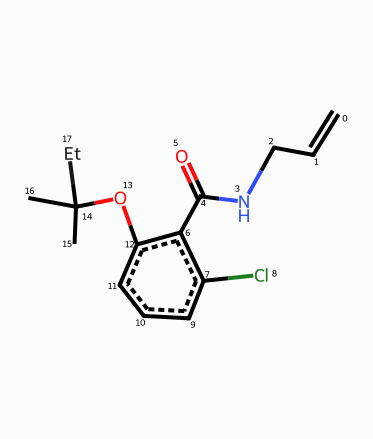 C=CCNC(=O)c1c(Cl)cccc1OC(C)(C)CC